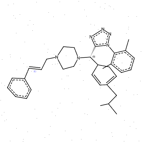 Cc1cccc(C)c1-n1nnnc1[C@H](C1C=CC(CC(C)C)=CC1)N1CCN(C/C=C/c2ccccc2)CC1